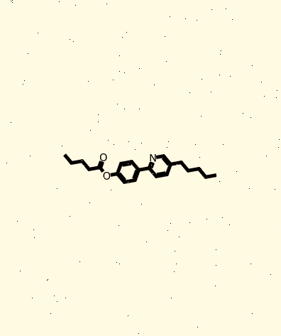 CCCCCc1ccc(-c2ccc(OC(=O)CCCC)cc2)nc1